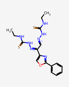 CCNC(=S)N/N=C(\C=N\NC(=S)NCC)c1coc(-c2ccccc2)n1